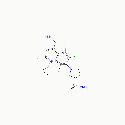 Cc1c(N2CCC([C@H](C)N)C2)c(F)c(F)c2c(CN)cc(=O)n(C3CC3)c12